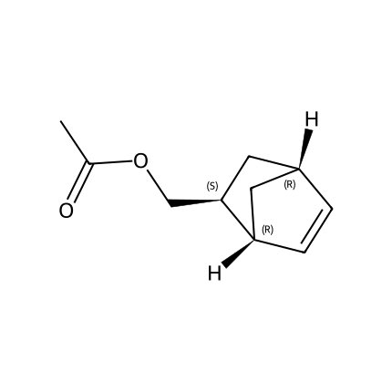 CC(=O)OC[C@H]1C[C@@H]2C=C[C@H]1C2